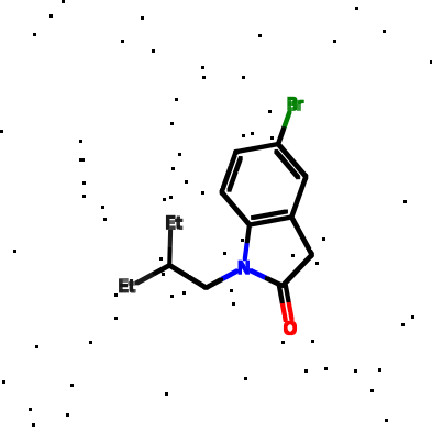 CCC(CC)CN1C(=O)Cc2cc(Br)ccc21